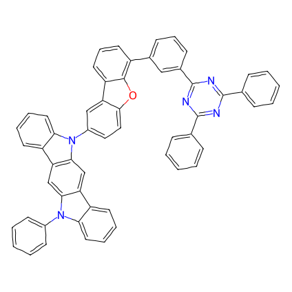 c1ccc(-c2nc(-c3ccccc3)nc(-c3cccc(-c4cccc5c4oc4ccc(-n6c7ccccc7c7cc8c(cc76)c6ccccc6n8-c6ccccc6)cc45)c3)n2)cc1